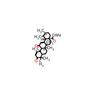 COC(=O)[C@]12CC[C@@H](C)[C@H](C)[C@H]1C1=CC(=O)C3[C@@]4(C)C=CC(=O)C(C)(C)C4CC[C@@]3(C)[C@]1(C)CC2